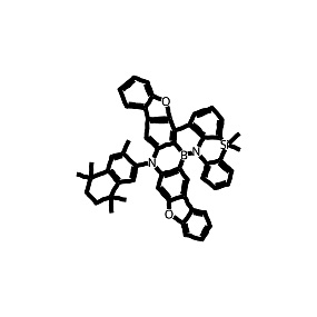 Cc1cc2c(cc1N1c3cc4oc5ccccc5c4cc3B3c4c1cc1c(oc5ccccc51)c4-c1cccc4c1N3c1ccccc1[Si]4(C)C)C(C)(C)CCC2(C)C